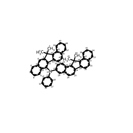 CC1(C)c2cc3ccccc3c(N(c3ccccc3)c3ccc4c5c(ccc4c3)-c3ccc4ccccc4c3C5(C)C)c2-c2ccc3ccccc3c21